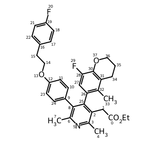 CCOC(=O)Cc1c(C)nc(C)c(-c2ccc(OCCc3ccc(F)cc3)cc2)c1-c1cc(F)c2c(c1C)CCCO2